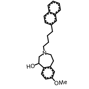 COc1ccc2c(c1)CCN(CCCCc1ccc3ccccc3c1)CC2O